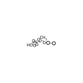 CC1OC(C(=O)N2CCC[C@H]2C(=O)O)=CC1COc1ccc(-c2ccccc2)cc1